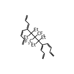 C=C/C=C\C(=C/C=C)C(CC)(CC)C(C(F)(F)F)(C(F)(F)F)C(CC)(CC)C(/C=C\C=C)=C/C=C